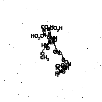 C/N=C/[C@H]1CC(F)(F)CN1C(=O)CNC(=O)c1ccnc2ccc(OCCCC3CCN(C(=O)CCCCCNC(=O)[C@H](CSCCNC(=O)CCCc4ccc(C)cc4)NC(=O)CN4CCN(CC(=O)O)CCN(CC(=O)O)CCN(CC(=O)O)CC4)CC3)cc12